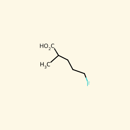 CC(CCCF)C(=O)O